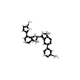 Nc1cncc(-c2ccc3[nH]nc(-c4nc5c(-c6ccc(F)s6)cncc5[nH]4)c3c2)c1